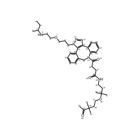 CCC(C)NCCOCCCn1nnc2c1-c1ccccc1CN(C(=O)CCC(=O)NCCC(C)(C)OCCC(C)(C)C(C)=O)c1ccccc1-2